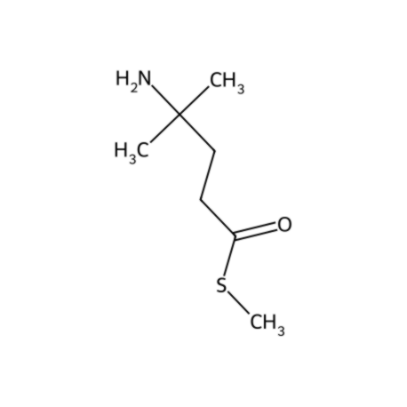 CSC(=O)CCC(C)(C)N